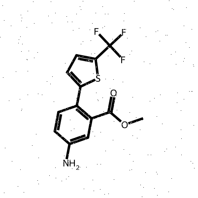 COC(=O)c1cc(N)ccc1-c1ccc(C(F)(F)F)s1